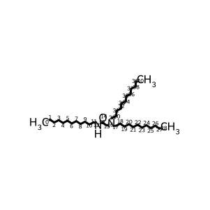 CCCCCCCCCCCCNC(=O)CN(CCCCCCCCCCCC)CCCCCCCCCCCC